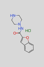 Cl.O=C(NN1CCNCC1)c1cc2ccccc2o1